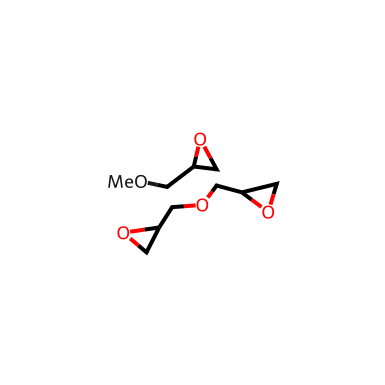 C(OCC1CO1)C1CO1.COCC1CO1